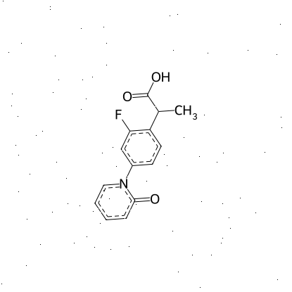 CC(C(=O)O)c1ccc(-n2ccccc2=O)cc1F